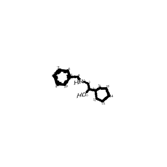 OC(CNCc1ccccc1)C1CCCCC1